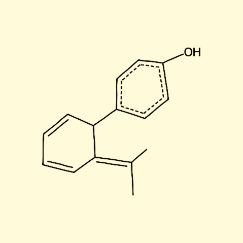 CC(C)=C1C=CC=CC1c1ccc(O)cc1